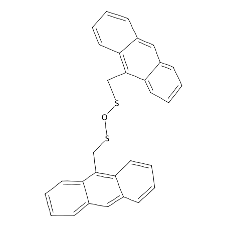 c1ccc2c(CSOSCc3c4ccccc4cc4ccccc34)c3ccccc3cc2c1